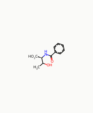 CC(O)[C@H](NC(=O)c1ccccc1)C(=O)O